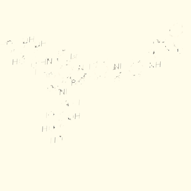 O=C(CN1C(=O)c2ccccc2C1=O)Nc1ccc(C(=O)Nc2ccc(C(=O)Nc3c(Br)c(C(=O)NCC(O)C(O)C(O)C(O)CO)c(Br)c(C(=O)NCC(O)C(O)C(O)C(O)CO)c3Br)cc2)cc1